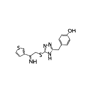 N=C(CSc1nnc(Cc2ccc(O)cc2)[nH]1)c1ccsc1